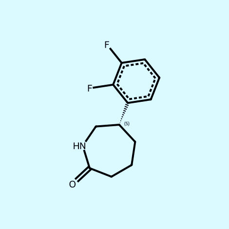 O=C1CCC[C@@H](c2cccc(F)c2F)CN1